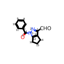 O=Cc1nn(C(=O)c2ccccc2)c2c1CCC2